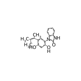 CC(C)=C(C)c1cc(-n2c(=O)[nH]c3ccccc32)c(O)cc1O